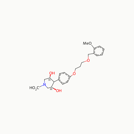 COc1ccccc1COCCCOc1ccc(C2[C@H](O)CN(C(=O)O)C[C@@H]2O)cc1